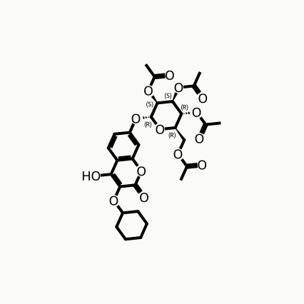 CC(=O)OC[C@H]1O[C@H](Oc2ccc3c(O)c(OC4CCCCC4)c(=O)oc3c2)[C@@H](OC(C)=O)[C@@H](OC(C)=O)[C@@H]1OC(C)=O